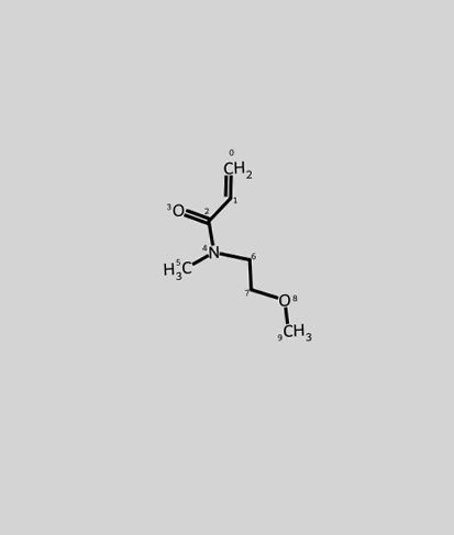 C=CC(=O)N(C)CCOC